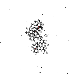 [2H]c1c([2H])c([2H])c(-c2cccc(-c3c([2H])c([2H])c([2H])c([2H])c3[2H])c2-[n+]2cn(-c3cc(Oc4cc(-c5nc6ccccc6n5-c5ccc(C(C)(C)C)cc5-c5ccccc5)cc(C(C)(C)C)c4)cc4c3oc3ccccc34)c3ccccc32)c([2H])c1[2H].[Cl-]